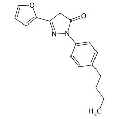 CCCCc1ccc(N2N=C(c3ccco3)CC2=O)cc1